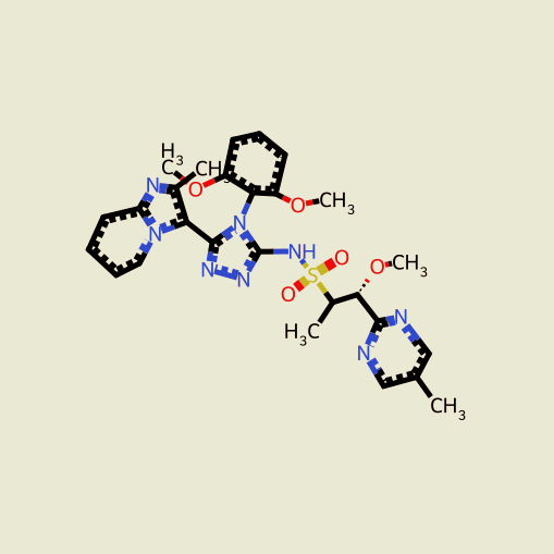 COc1cccc(OC)c1-n1c(NS(=O)(=O)C(C)[C@H](OC)c2ncc(C)cn2)nnc1-c1c(C)nc2ccccn12